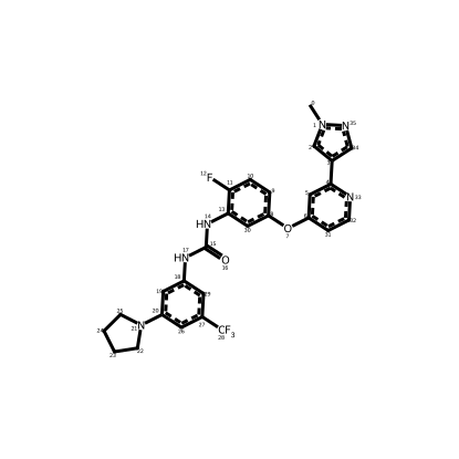 Cn1cc(-c2cc(Oc3ccc(F)c(NC(=O)Nc4cc(N5CCCC5)cc(C(F)(F)F)c4)c3)ccn2)cn1